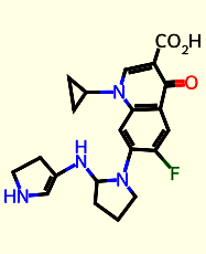 O=C(O)c1cn(C2CC2)c2cc(N3CCCC3NC3=CNCC3)c(F)cc2c1=O